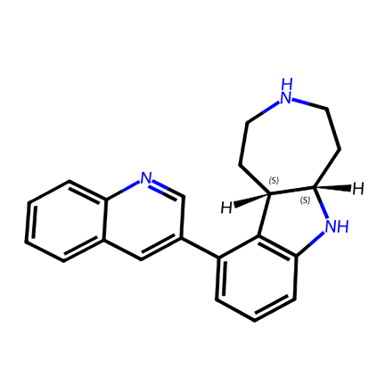 c1cc2c(c(-c3cnc4ccccc4c3)c1)[C@@H]1CCNCC[C@@H]1N2